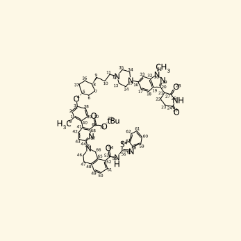 Cc1cc(O[C@H]2CC[C@H](CCCN3CCN(c4ccc5c(C6CCC(=O)NC6=O)nn(C)c5c4)CC3)CC2)ccc1-c1ccc(N2CCc3cccc(C(=O)Nc4nc5ccccc5s4)c3C2)nc1C(=O)OC(C)(C)C